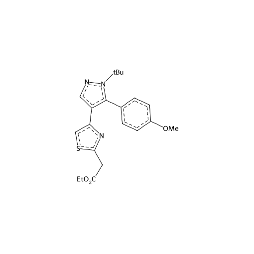 CCOC(=O)Cc1nc(-c2cnn(C(C)(C)C)c2-c2ccc(OC)cc2)cs1